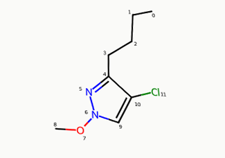 CCCCc1nn(OC)cc1Cl